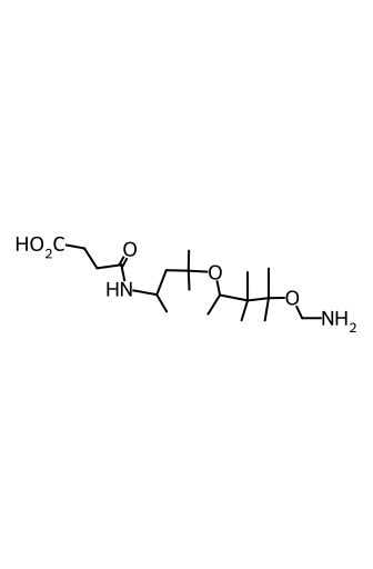 CC(CC(C)(C)OC(C)C(C)(C)C(C)(C)OCN)NC(=O)CCC(=O)O